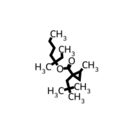 CCCCC(C)(CC)OC(=O)C1(CC(C)(C)C)CC1C